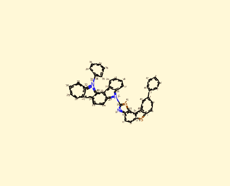 c1ccc(-c2ccc3sc4ccc5nc(-n6c7ccccc7c7c6ccc6c8ccccc8n(-c8ccccc8)c67)sc5c4c3c2)cc1